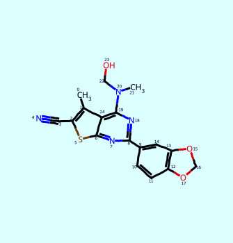 Cc1c(C#N)sc2nc(-c3ccc4c(c3)OCO4)nc(N(C)CO)c12